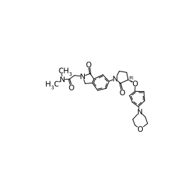 CN(C)C(=O)CN1Cc2ccc(N3CC[C@@H](Oc4ccc(N5CCOCC5)cc4)C3=O)cc2C1=O